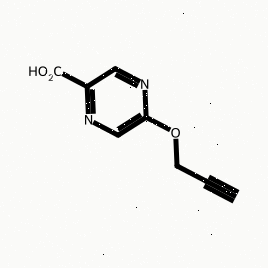 C#CCOc1cnc(C(=O)O)cn1